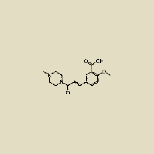 COc1ccc(C=CC(=O)N2CCN(C)CC2)cc1C(=O)O